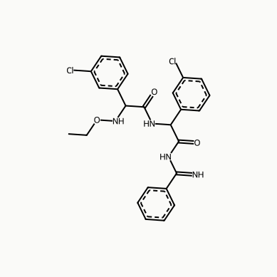 CCONC(C(=O)NC(C(=O)NC(=N)c1ccccc1)c1cccc(Cl)c1)c1cccc(Cl)c1